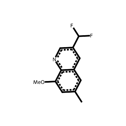 COc1cc(C)cc2cc(C(F)F)cnc12